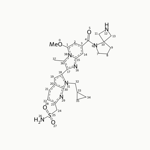 COc1cc(C(=O)N2CCCC23CNC3)cc2nc(-c3cc4ccc(CS(N)(=O)=O)nc4n3CC3CC3)c(C)n12